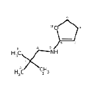 CC(C)(C)CNC1=CCCO1